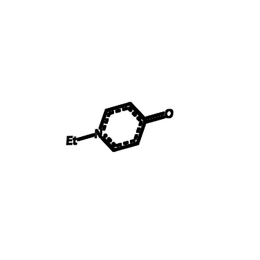 [CH2]Cn1ccc(=O)cc1